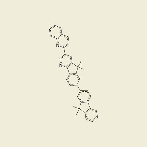 CC1(C)c2ccccc2-c2ccc(-c3ccc4c(c3)C(C)(C)c3cc(-c5ccc6ccccc6n5)cnc3-4)cc21